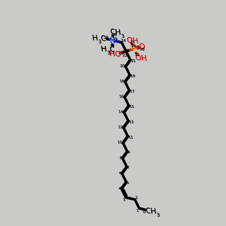 CCC/C=C\CCCCCCCCCCCCCCCCCC(O)(C[N+](C)(C)C)P(=O)(O)O